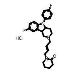 Cl.O=C1CCCCN1CC=CCN1CCC2C(C1)c1cc(F)ccc1N2c1ccc(F)cc1